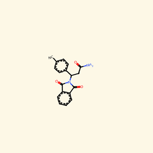 N#Cc1ccc(C(CC(N)=O)N2C(=O)c3ccccc3C2=O)cc1